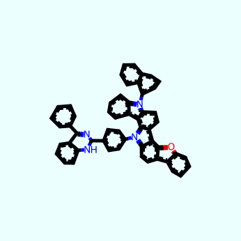 c1ccc(C2=NC(c3ccc(-n4c5ccc6c7ccccc7oc6c5c5ccc6c(c7ccccc7n6-c6cccc7ccccc67)c54)cc3)Nc3ccccc32)cc1